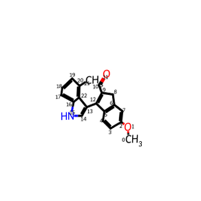 COc1ccc2c(c1)CC(C=O)=C2c1c[nH]c2cccc(C)c12